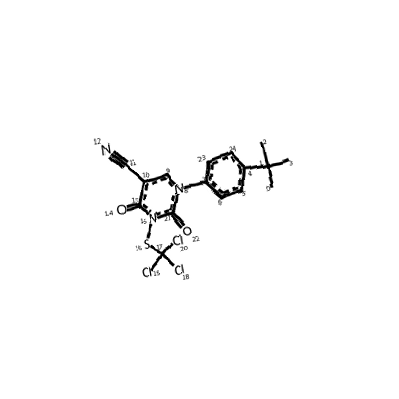 CC(C)(C)c1ccc(-n2cc(C#N)c(=O)n(SC(Cl)(Cl)Cl)c2=O)cc1